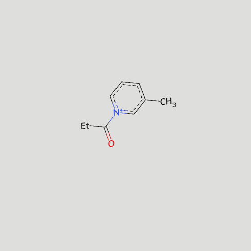 CCC(=O)[n+]1cccc(C)c1